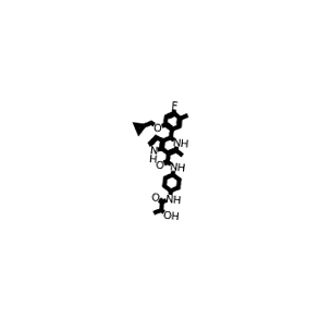 CC1=C(C(=O)NC2CCC(NC(=O)C(C)O)CC2)c2[nH]ccc2C(c2cc(C)c(F)cc2OCC2CC2)N1